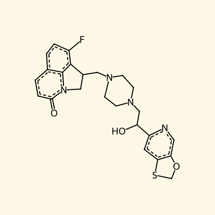 O=c1ccc2ccc(F)c3c2n1CC3CN1CCN(CC(O)c2cc3c(cn2)OCS3)CC1